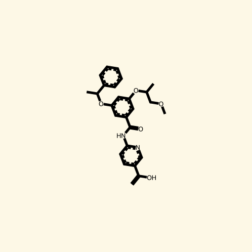 C=C(O)c1ccc(NC(=O)c2cc(OC(C)COC)cc(OC(C)c3ccccc3)c2)nc1